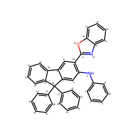 c1ccc(Nc2cc3c(cc2-c2nc4ccccc4o2)-c2ccccc2C3(c2ccccc2)c2ccccc2)cc1